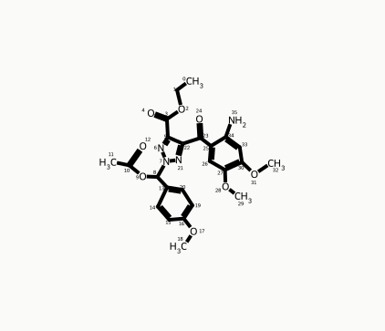 CCOC(=O)c1nn(C(OC(C)=O)c2ccc(OC)cc2)nc1C(=O)c1cc(OC)c(OC)cc1N